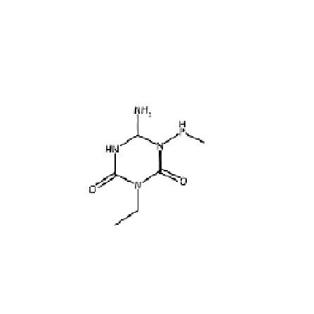 CCN1C(=O)NC(N)N(PC)C1=O